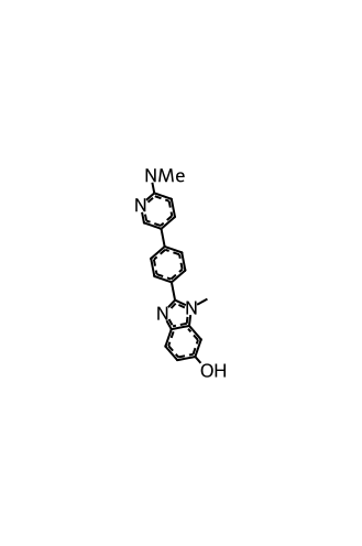 CNc1ccc(-c2ccc(-c3nc4ccc(O)cc4n3C)cc2)cn1